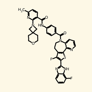 Cc1ccc(C(=O)Nc2ccc(C(=O)N3CCc4c(sc(-c5nc6cccc(F)c6[nH]5)c4F)-c4ncccc43)cc2)c(N2CC3(CCOCC3)C2)n1